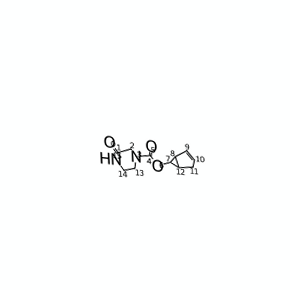 O=C1CN(C(=O)OC2C3C=CCC32)CCN1